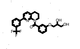 O=C(c1cccc(OCC(O)CO)c1)N1CCCc2ccc(-c3cccc(C(F)(F)F)c3)nc21